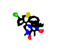 COc1nc(=O)c(C)c2n1C(C1c3ccccc3SCc3c(Cl)cccc31)CN(C)C2=O